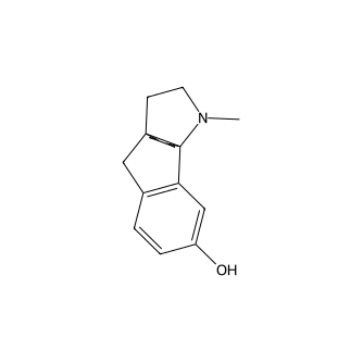 CN1CCC23CCCCC12c1cc(O)ccc1C3